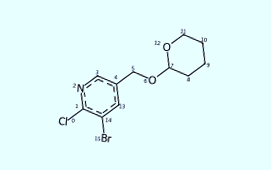 Clc1ncc(COC2CCCCO2)cc1Br